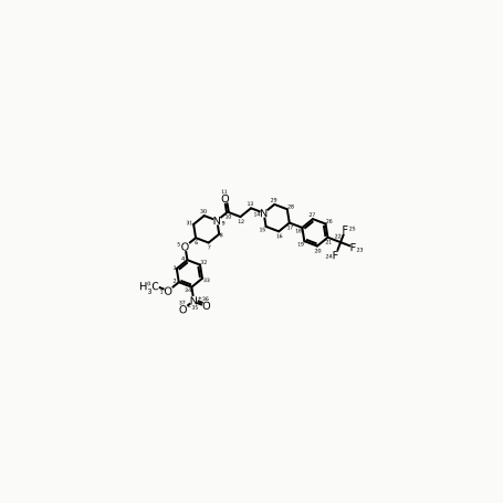 COc1cc(OC2CCN(C(=O)CCN3CCC(c4ccc(C(F)(F)F)cc4)CC3)CC2)ccc1[N+](=O)[O-]